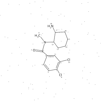 CN(C(=O)c1ccc(Cl)c(Cl)c1)C1CCCCC1N